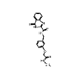 CNC(=O)COc1cccc(CNC(=O)c2nc3ccccc3c(=O)[nH]2)c1